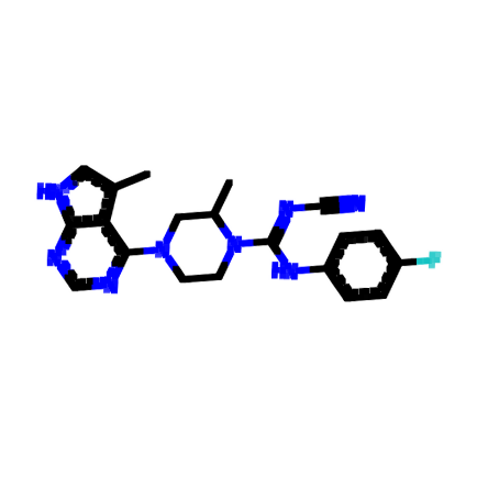 Cc1c[nH]c2ncnc(N3CCN(C(=NC#N)Nc4ccc(F)cc4)C(C)C3)c12